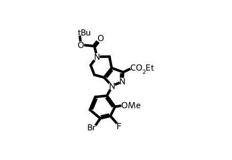 CCOC(=O)c1nn(-c2ccc(Br)c(F)c2OC)c2c1CN(C(=O)OC(C)(C)C)CC2